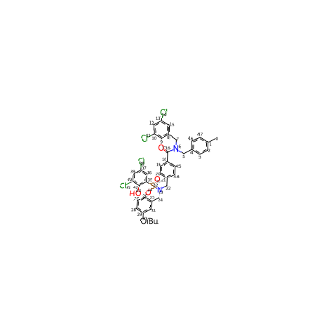 Cc1ccc(CN(Cc2cc(Cl)cc(Cl)c2)C(=O)c2ccc(CN(Cc3cccc(OCC(C)C)c3)S(=O)(=O)c3cc(Cl)cc(Cl)c3O)cc2)cc1